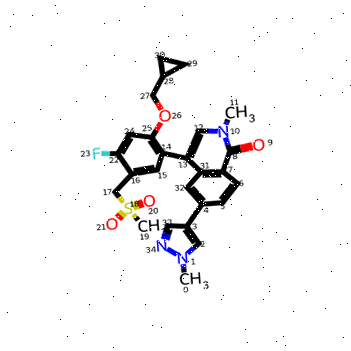 Cn1cc(-c2ccc3c(=O)n(C)cc(-c4cc(CS(C)(=O)=O)c(F)cc4OCC4CC4)c3c2)cn1